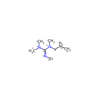 CCN=C(N(C)C)N(C)C[SiH2]C